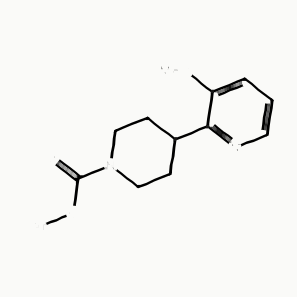 COc1cccnc1C1CCN(C(=O)OC(C)(C)C)CC1